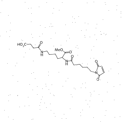 COC(=O)C(CCCCNC(=O)CCC(=O)O)NC(=O)CCCCCN1C(=O)C=CC1=O